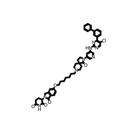 O=C1CCC(N2Cc3cc(OCCCCCCCN4CCC5(CC4)CCN(c4cncc(Nc6ncc(Cl)c(-c7cccc(-c8ccccc8)c7)n6)c4)C5=O)ccc3C2=O)C(=O)N1